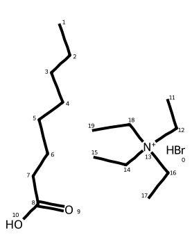 Br.CCCCCCCC(=O)O.CC[N+](CC)(CC)CC